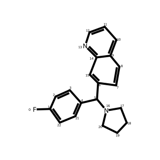 Fc1ccc(C(c2ccc3cccnc3c2)N2CCCC2)cc1